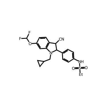 CCS(=O)(=O)Nc1ccc(C2C(C#N)c3ccc(OC(F)F)cc3N2CC2CC2)cc1